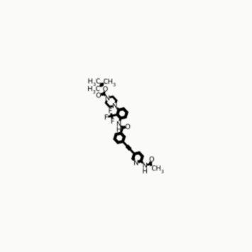 CC(=O)Nc1ccc(C#Cc2cccc(C(=O)Nc3cccc(N4CCN(C(=O)OC(C)(C)C)CC4)c3C(F)(F)F)c2)cn1